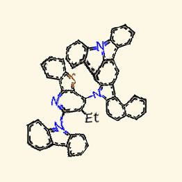 CCc1c(-n2c3ccccc3c3ccccc32)nc2c(sc3ccccc32)c1-n1c2ccc3ccccc3c2c2cc3c4ccccc4n4c5ccccc5c(c21)c34